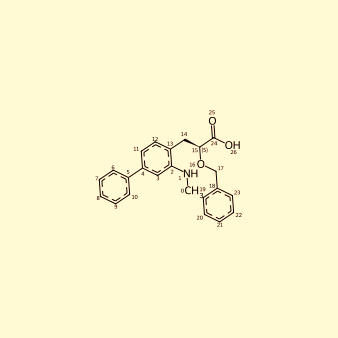 CNc1cc(-c2ccccc2)ccc1C[C@H](OCc1ccccc1)C(=O)O